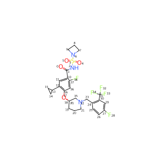 O=C(NS(=O)(=O)N1CCC1)c1cc(C2CC2)c(O[C@@H]2CCCN(Cc3ccc(F)cc3C(F)(F)F)C2)cc1F